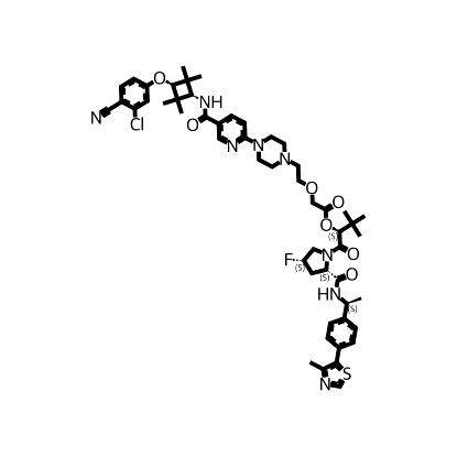 Cc1ncsc1-c1ccc([C@H](C)NC(=O)[C@@H]2C[C@H](F)CN2C(=O)[C@@H](OC(=O)COCCN2CCN(c3ccc(C(=O)N[C@H]4C(C)(C)[C@H](Oc5ccc(C#N)c(Cl)c5)C4(C)C)cn3)CC2)C(C)(C)C)cc1